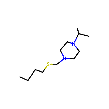 CCCCSCN1CCN(C(C)C)CC1